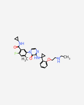 CCNCCOc1ccccc1C1(Nc2nccn(-c3cc(C(=O)NC4CC4)c(F)cc3C)c2=O)CC1